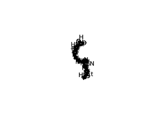 CCC1(C(=O)NC2CCC2)CCN(c2ccc(-c3nc(-c4cnn(C5CC(CN6CCN(c7ccc(N[C@H]8CCC(=O)NC8=O)cc7F)CC6)C5)c4)cn4ncc(C#N)c34)cn2)CC1